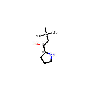 CC(C)(C)[Si](C)(C[C@@H](O)[C@@H]1CCCN1)C(C)(C)C